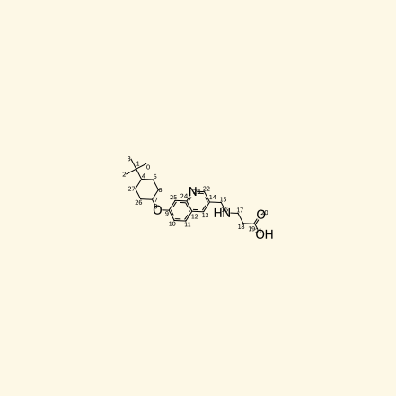 CC(C)(C)C1CCC(Oc2ccc3cc(CNCCC(=O)O)cnc3c2)CC1